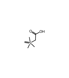 C=S(C)(C)(C)CC(=O)O